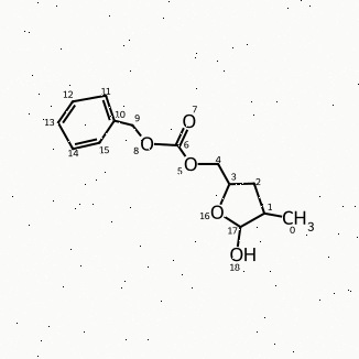 CC1CC(COC(=O)OCc2ccccc2)OC1O